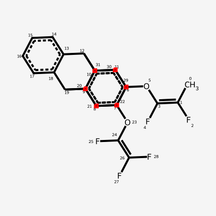 C/C(F)=C(/F)Oc1ccc2c(c1)C1c3ccccc3C2c2cc(OC(F)=C(F)F)ccc21